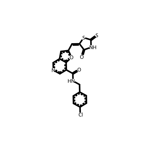 O=C1NC(=S)SC1=Cc1cc2cncc(C(=O)NCc3ccc(Cl)cc3)c2o1